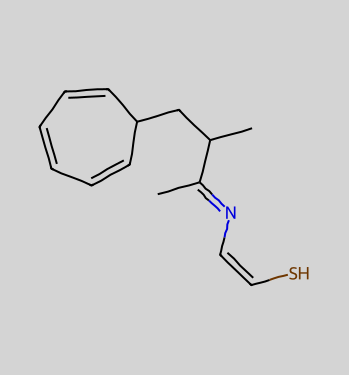 C/C(=N\C=C/S)C(C)CC1C=CC=CC=C1